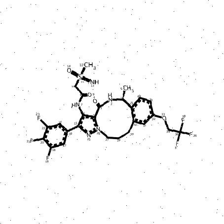 C[C@@H]1NC(=O)c2c(NC(=O)CS(C)(=N)=O)c(-c3cc(F)c(F)c(F)c3)nn2CCCc2cc(OCC(F)(F)F)ccc21